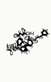 CC(=O)NO[As](=O)(OO)c1cccc(-n2c(-c3ccccc3)ccc(NC(=O)CCc3ccccc3)c2=O)c1.O=CCCC(=O)O